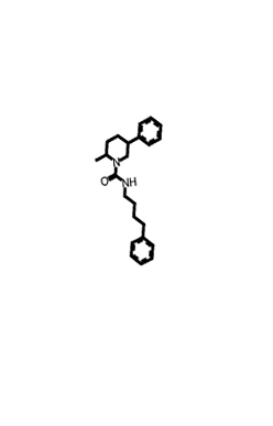 CC1CCC(c2ccccc2)CN1C(=O)NCCCCc1ccccc1